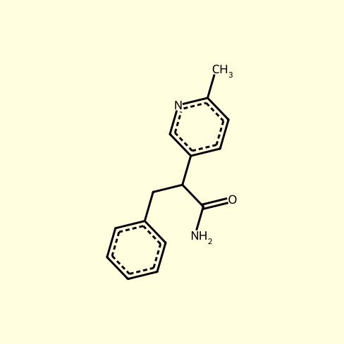 Cc1ccc(C(Cc2ccccc2)C(N)=O)cn1